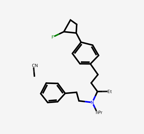 CC#N.CCCN(CCc1ccccc1)C(CC)CCc1ccc(C2CCC2F)cc1